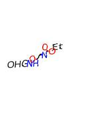 CCOC(=O)N=CCONC=O